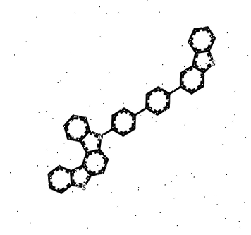 c1ccc2c(c1)sc1ccc(-c3ccc(-c4ccc(-n5c6ccccc6c6c7c(ccc65)sc5ccccc57)cc4)cc3)cc12